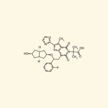 Cc1c(-c2ncco2)sc2c1c(=O)n(C(C)(C)C(=O)O)c(=O)n2CC(O[C@H]1C[C@H]2C[C@@H](O)C[C@H]2C1)c1ccccc1F